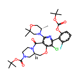 C[C@H]1COC(C)(C)CN1c1nc(-c2c(F)cccc2OC(=O)OC(C)(C)C)c(Cl)c2c1C(=O)N1CCN(C(=O)OC(C)(C)C)C[C@@H]1CO2